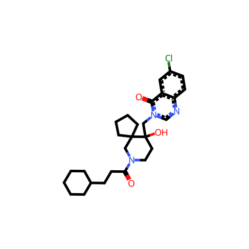 O=C(CCC1CCCCC1)N1CCC(O)(Cn2cnc3ccc(Cl)cc3c2=O)C2(CCCC2)C1